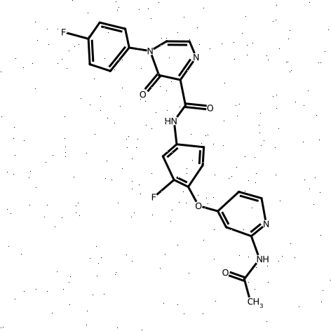 CC(=O)Nc1cc(Oc2ccc(NC(=O)c3nccn(-c4ccc(F)cc4)c3=O)cc2F)ccn1